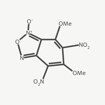 COc1c([N+](=O)[O-])c(OC)c2c(no[n+]2[O-])c1[N+](=O)[O-]